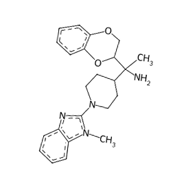 Cn1c(N2CCC(C(C)(N)C3COc4ccccc4O3)CC2)nc2ccccc21